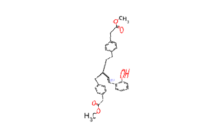 COC(=O)Cc1ccc(CCC(/C=C/c2ccccc2O)Cc2ccc(CC(=O)OC)cc2)cc1